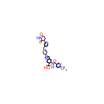 CC(C)(O)c1cc2nn(C3CCN(Cc4ccnc(C5CCC(=O)NC5=O)c4)CC3)cc2cc1NC(=O)c1ccc(C(F)(F)F)nc1